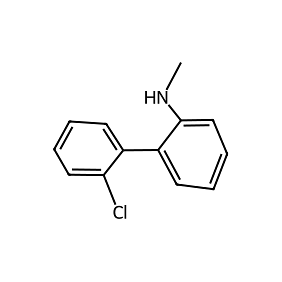 CNc1ccccc1-c1ccccc1Cl